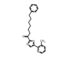 Cc1cccnc1-c1cnc(C(=O)CCCCCCc2ccccc2)o1